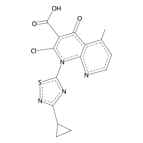 Cc1ccnc2c1c(=O)c(C(=O)O)c(Cl)n2-c1nc(C2CC2)ns1